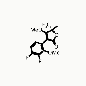 COC1=C(c2ccc(F)c(F)c2OC)C(=O)O[C@@]1(C)C(F)(F)F